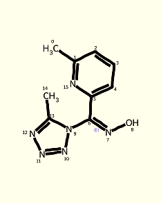 Cc1cccc(/C(=N\O)n2nnnc2C)n1